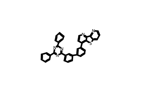 c1ccc(-c2nc(-c3ccccc3)nc(-c3cccc(-c4cccc(-c5ccnc6c5sc5cccnc56)c4)c3)n2)cc1